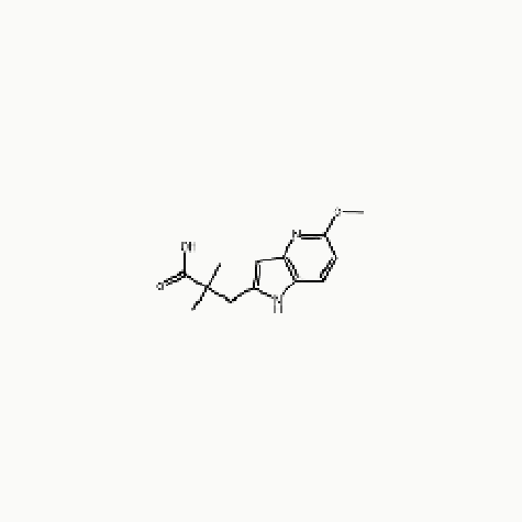 COc1ccc2[nH]c(CC(C)(C)C(=O)O)cc2n1